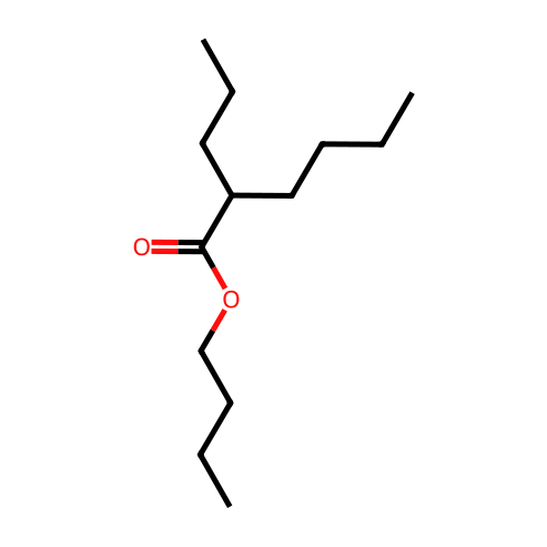 CCCCOC(=O)C(CCC)CCCC